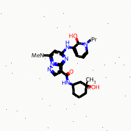 CNc1cc(NC2=CC=CN(C(C)C)C2O)nc2c(C(=O)NC3CCC[C@@](C)(O)C3)cnn12